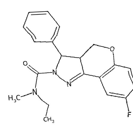 CCN(C)C(=O)N1N=C2c3cc(F)ccc3OCC2C1c1ccccc1